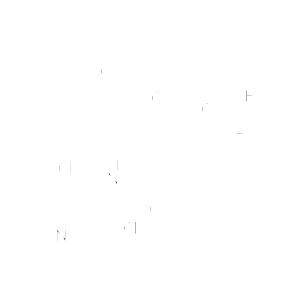 O=C(Nc1c(Cl)cncc1Cl)c1ccc(OC(F)F)c(OC2CCOC2)c1